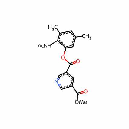 COC(=O)c1cncc(C(=O)Oc2cc(C)cc(C)c2NC(C)=O)c1